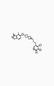 Cc1c(OC2CC3(C2)CN(CCCc2cn[nH]c(=O)c2Cl)C3)ccc2cnn(C)c12